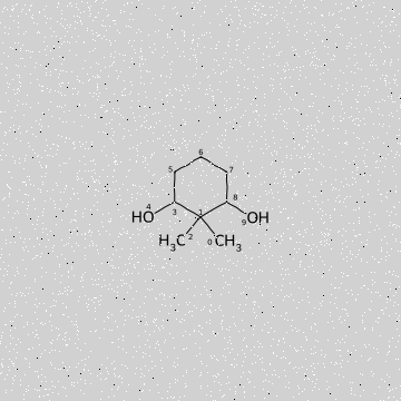 CC1(C)C(O)CCCC1O